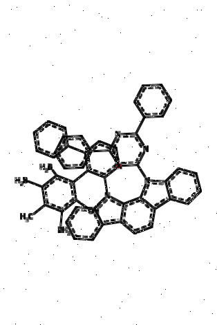 Bc1c(B)c(-c2c(-c3ccccc3)cccc2-n2c3ccccc3c3ccc4c5ccccc5n(-c5nc(-c6ccccc6)nc(-c6ccccc6)n5)c4c32)c(O)c(B)c1C